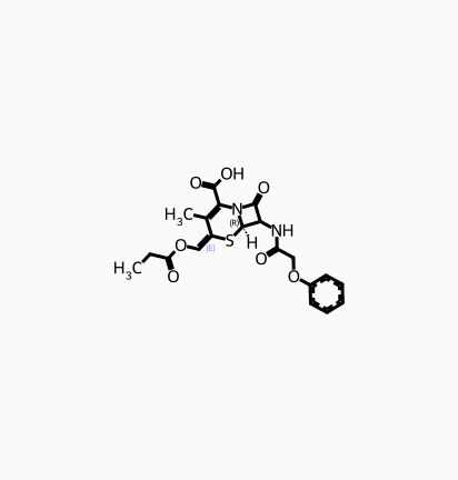 CCC(=O)O/C=C1/S[C@@H]2C(NC(=O)COc3ccccc3)C(=O)N2C(C(=O)O)=C1C